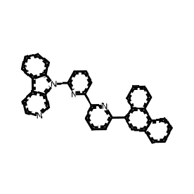 c1cc(-c2cccc(-n3c4ccccc4c4ccncc43)n2)nc(-c2cc3ccccc3c3ccccc23)c1